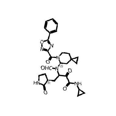 O=CN(C(C[C@@H]1CCNC1=O)C(=O)C(=O)NC1CC1)[C@@H]1CC2(CCN1C(=O)c1noc(-c3ccccc3)n1)CC2